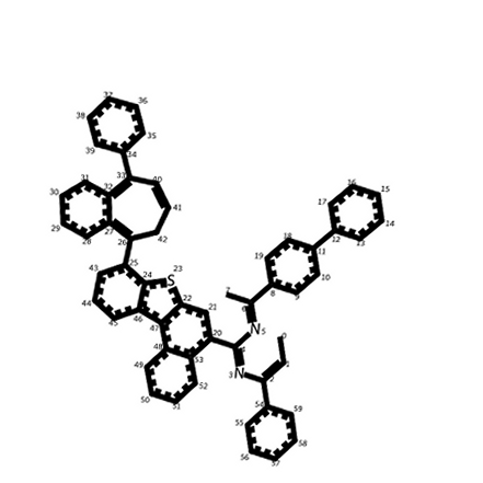 C\C=C(/N=C(\N=C(/C)c1ccc(-c2ccccc2)cc1)c1cc2sc3c(C4=c5ccccc5=C(c5ccccc5)C=CC4)cccc3c2c2ccccc12)c1ccccc1